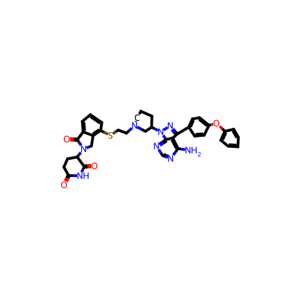 Nc1ncnc2c1c(-c1ccc(Oc3ccccc3)cc1)nn2C1CCCN(CCSc2cccc3c2CN(C2CCC(=O)NC2=O)C3=O)C1